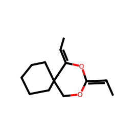 CC=C1OCC2(CCCCC2)C(=CC)O1